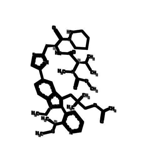 CCn1c(-c2cccnc2[C@H](C)OC)c(CC(C)(C)COC(C)=O)c2cc(-c3csc(C[C@H](NC(=O)[C@H](C(C)C)N(C)C(=O)OC)C(=O)N4CCCCN4)n3)ccc21